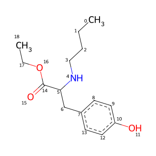 CCCCNC(Cc1ccc(O)cc1)C(=O)OCC